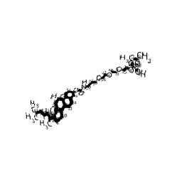 CC(C)CCC[C@@H](C)C1CCC2C3CC=C4C[C@@H](OC(=O)NCCCOCCOCCOCCOP(=O)(O)OC(C)C)CC[C@]4(C)C3CC[C@@]21C